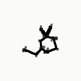 CC(C)C[C@H]1CS(=O)(=O)NCN1